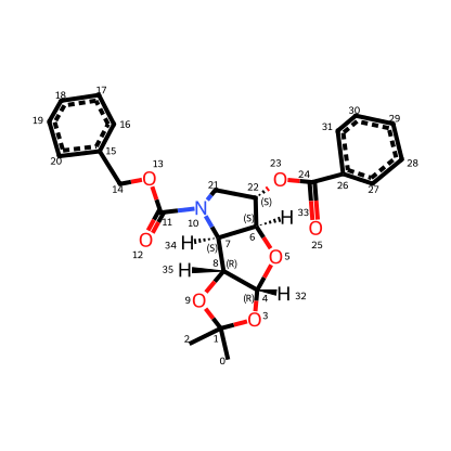 CC1(C)O[C@H]2O[C@H]3[C@@H]([C@H]2O1)N(C(=O)OCc1ccccc1)C[C@@H]3OC(=O)c1ccccc1